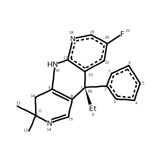 CC[C@@]1(c2ccccc2)C2=C(CC(C)(C)N=C2)Nc2ncc(F)cc21